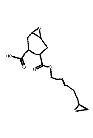 O=C(O)C1CC2OC2CC1C(=O)OCCCCC1CO1